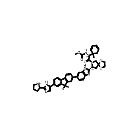 COC(=O)N[C@@H](C(=O)N1CC2(C[C@H]1c1nc3ccc(-c4ccc5c(c4)C(F)(F)c4cc(-c6cnc(C7CCCN7)[nH]6)ccc4-5)cc3[nH]1)OCCO2)C1(C)C=CC=CC1